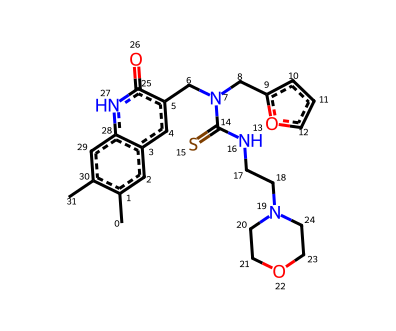 Cc1cc2cc(CN(Cc3ccco3)C(=S)NCCN3CCOCC3)c(=O)[nH]c2cc1C